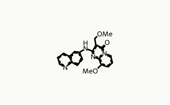 COCc1c(Nc2ccc3ncccc3c2)nc2c(OC)cccn2c1=O